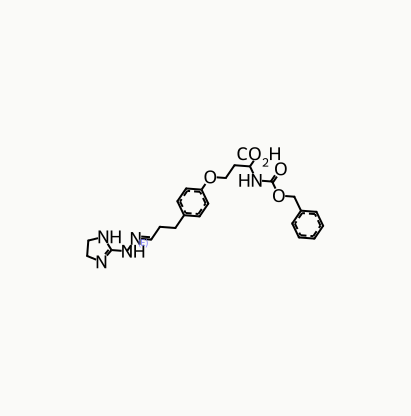 O=C(NC(CCOc1ccc(CC/C=N/NC2=NCCN2)cc1)C(=O)O)OCc1ccccc1